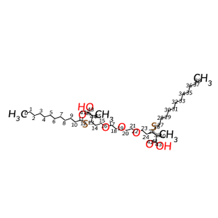 CCCCCCCCCCCCSC(CCOCCOCCOCCC(SCCCCCCCCCCCC)C(C)C(=O)O)C(C)C(=O)O